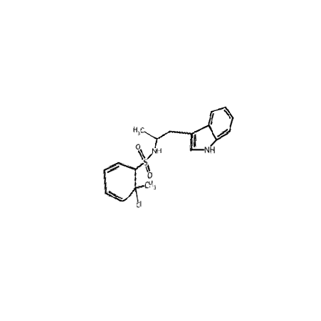 CC(Cc1c[nH]c2ccccc12)NS(=O)(=O)C1C=CC=CC1(C)Cl